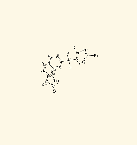 Cc1nc(F)ccc1C(C)(C)c1ccc2nnc3c([nH]c(=O)n3C)c2c1